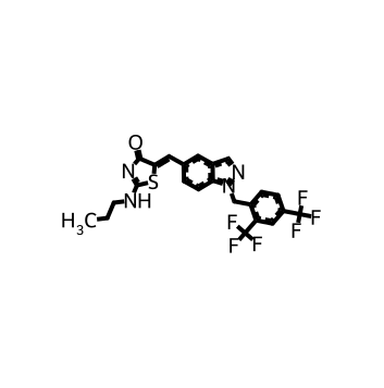 CCCNC1=NC(=O)/C(=C/c2ccc3c(cnn3Cc3ccc(C(F)(F)F)cc3C(F)(F)F)c2)S1